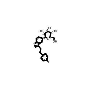 OC[C@H]1O[C@@H](c2ccc3scc(CCc4ccc(F)cc4)c3c2)[C@H](O)[C@@H](O)[C@@H]1O